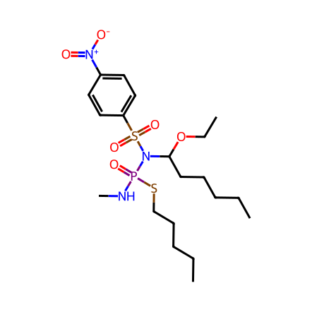 CCCCCSP(=O)(NC)N(C(CCCCC)OCC)S(=O)(=O)c1ccc([N+](=O)[O-])cc1